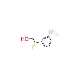 Bc1cccc(C(F)CO)c1